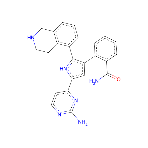 NC(=O)c1ccccc1-c1cc(-c2ccnc(N)n2)[nH]c1-c1cccc2c1CCNC2